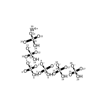 O=S(=O)([O-])O.O=S(=O)([O-])O.O=S(=O)([O-])O.O=S(=O)([O-])O.O=S(=O)([O-])O.O=S(=O)([O-])O.[W+6]